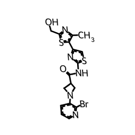 Cc1nc(CO)sc1-c1csc(NC(=O)C2CN(c3cccnc3Br)C2)n1